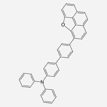 c1ccc(N(c2ccccc2)c2ccc(-c3ccc(-c4ccc5ccc6cccc7oc4c5c67)cc3)cc2)cc1